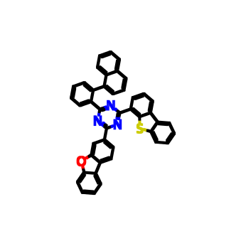 c1ccc(-c2cccc3ccccc23)c(-c2nc(-c3ccc4c(c3)oc3ccccc34)nc(-c3cccc4c3sc3ccccc34)n2)c1